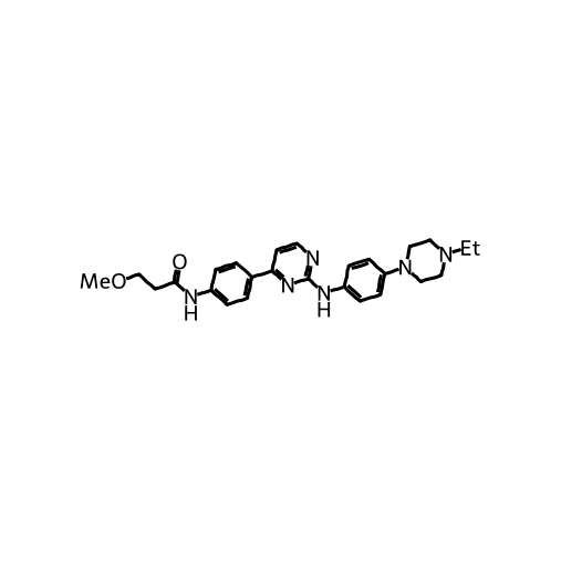 CCN1CCN(c2ccc(Nc3nccc(-c4ccc(NC(=O)CCOC)cc4)n3)cc2)CC1